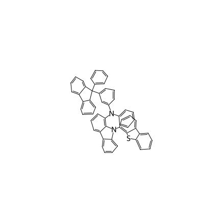 c1ccc(N(c2cccc(C3(c4ccccc4)c4ccccc4-c4ccccc43)c2)c2cccc3c4ccccc4n(-c4cccc5c4sc4ccccc45)c23)cc1